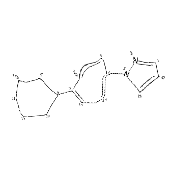 c1cnn(-c2ccc(C3CCCCC3)cc2)c1